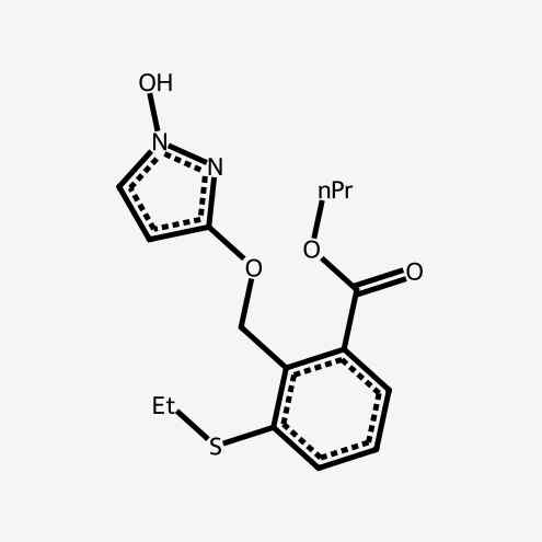 CCCOC(=O)c1cccc(SCC)c1COc1ccn(O)n1